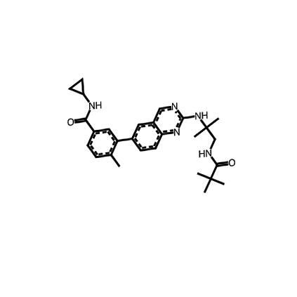 Cc1ccc(C(=O)NC2CC2)cc1-c1ccc2nc(NC(C)(C)CNC(=O)C(C)(C)C)ncc2c1